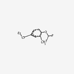 CCOc1ccc(OC(F)F)c(C)c1